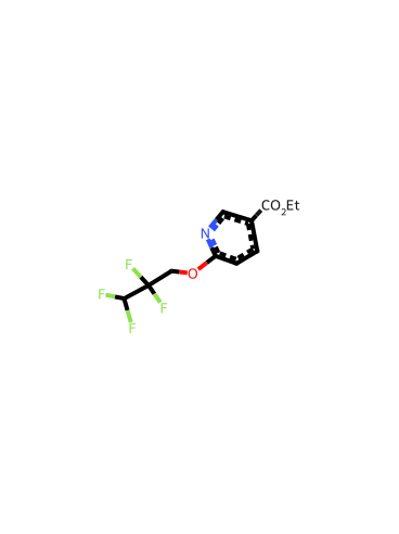 CCOC(=O)c1ccc(OCC(F)(F)C(F)F)nc1